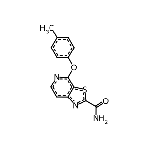 Cc1ccc(Oc2nccc3nc(C(N)=O)sc23)cc1